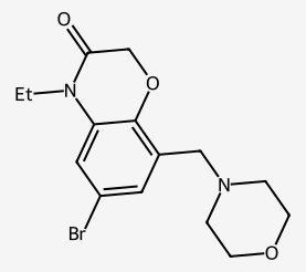 CCN1C(=O)COc2c(CN3CCOCC3)cc(Br)cc21